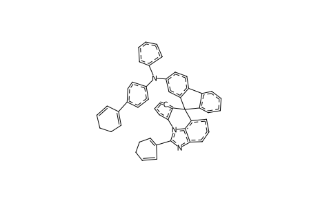 C1=CC(c2ccc(N(c3ccccc3)c3ccc4c(c3)C3(c5ccccc5-4)c4ccccc4-n4c(C5=CCCC=C5)nc5cccc3c54)cc2)=CCC1